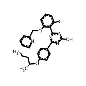 CCC[C@@H](C)Oc1ccc(-c2nc(O)nc(-c3c(Cl)cccc3OCc3ccccn3)n2)cc1